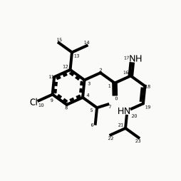 C=C(Cc1c(C(C)C)cc(Cl)cc1C(C)C)C(=N)/C=C\NC(C)C